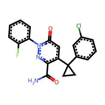 NC(=O)c1nn(-c2ccccc2F)c(=O)cc1C1(c2cccc(Cl)c2)CC1